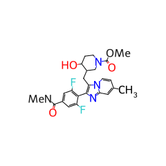 CNC(=O)c1cc(F)c(-c2nc3cc(C)ccn3c2CC2CN(C(=O)OC)CCC2O)c(F)c1